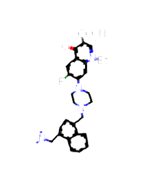 CCn1cc(C(=O)O)c(=O)c2cc(F)c(N3CCN(Cc4ccc(CN(C)C)c5ccccc45)CC3)cc21